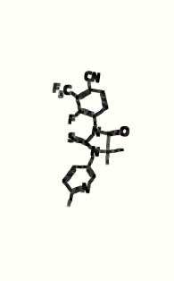 Cc1ccc(N2C(=S)N(c3ccc(C#N)c(C(F)(F)F)c3F)C(=O)C2(C)C)cn1